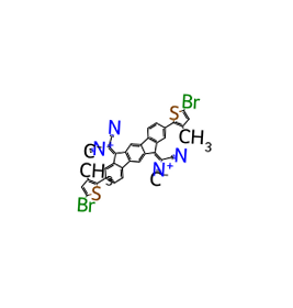 [C-]#[N+]/C(C#N)=C1/c2cc(-c3sc(Br)cc3C)ccc2-c2cc3c(cc21)-c1ccc(-c2sc(Br)cc2C)cc1/C3=C(/C#N)[N+]#[C-]